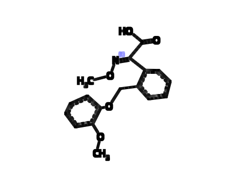 CO/N=C(/C(=O)O)c1ccccc1COc1ccccc1OC